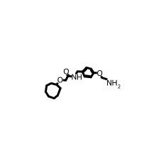 NCCOc1ccc(CNC(=O)COC2CCCCCCC2)cc1